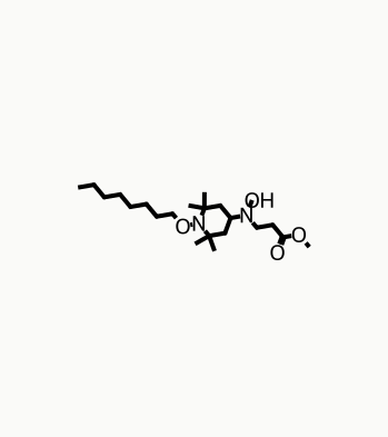 CCCCCCCCON1C(C)(C)CC(N(O)CCC(=O)OC)CC1(C)C